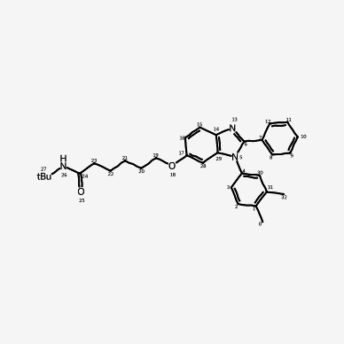 Cc1ccc(-n2c(-c3ccccc3)nc3ccc(OCCCCCC(=O)NC(C)(C)C)cc32)cc1C